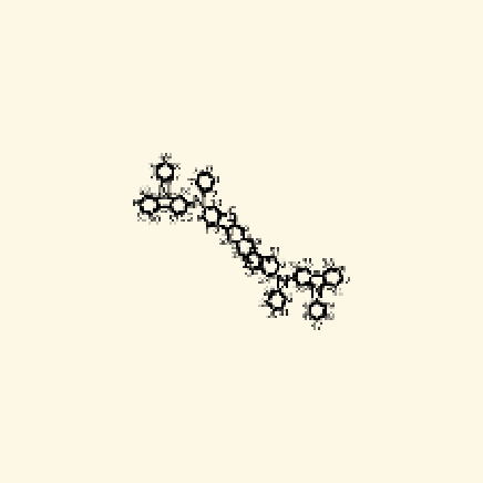 c1ccc(N(c2ccc3c(c2)sc2cc4cc5c(cc4cc23)sc2cc(N(c3ccccc3)c3ccc4c6ccccc6n(-c6ccccc6)c4c3)ccc25)c2ccc3c4ccccc4n(-c4ccccc4)c3c2)cc1